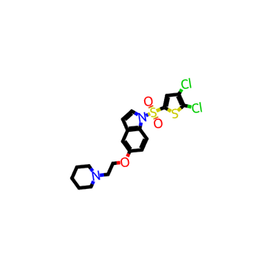 O=S(=O)(c1cc(Cl)c(Cl)s1)n1ccc2cc(OCCN3CCCCC3)ccc21